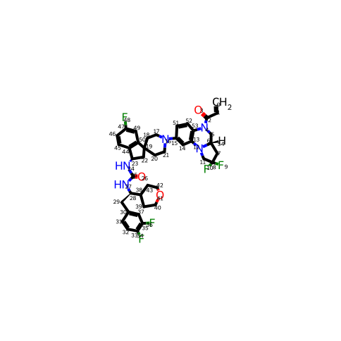 C=CC(=O)N1C[C@@H]2CC(F)(F)CN2c2cc(N3CCC4(CC3)C[C@@H](NC(=O)N[C@H](Cc3ccc(F)c(F)c3)C3CCOCC3)c3ccc(F)cc34)ccc21